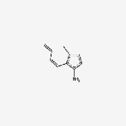 C=C/C=C\c1c(N)ccn1C